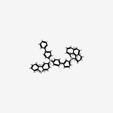 c1ccc(-c2ccc(N(c3ccc(-c4cccc(-n5c6cccc7ccc8cccc5c8c76)c4)cc3)c3ccc4sc5ccccc5c4c3)cc2)cc1